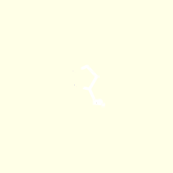 O=[N+]([O-])C1[CH]CNN1